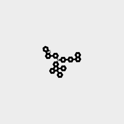 c1ccc(-c2c(-c3ccccc3)c3cc(N(c4ccc(-c5ccc(-c6cccc7ccccc67)cc5)cc4)c4cccc(-c5cccc6c5sc5ccccc56)c4)ccc3c3ccccc23)cc1